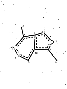 Cc1onc2c(C)nncc12